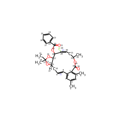 Cc1cc(C)c2c(c1)/C=C/C[C@@H]1OC(C)(C)OC1C(OC(=O)c1ccccc1)/C(F)=C\CC(C)OC2=O